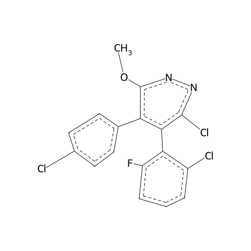 COc1nnc(Cl)c(-c2c(F)cccc2Cl)c1-c1ccc(Cl)cc1